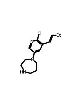 CC/C=C/c1cc(N2CCCNCC2)cnc1Cl